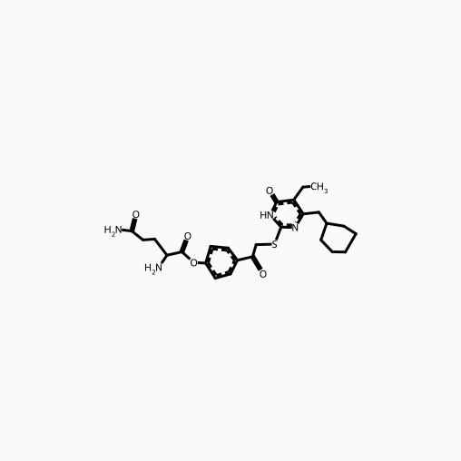 CCc1c(CC2CCCCC2)nc(SCC(=O)c2ccc(OC(=O)C(N)CCC(N)=O)cc2)[nH]c1=O